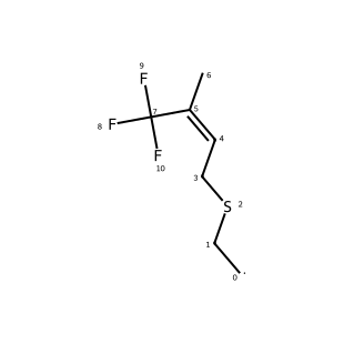 [CH2]CSCC=C(C)C(F)(F)F